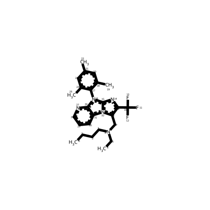 CCCCN(CC)Cc1c(C(F)(F)F)nc2n(-c3c(C)cc(C)cc3C)c3ncccc3n12